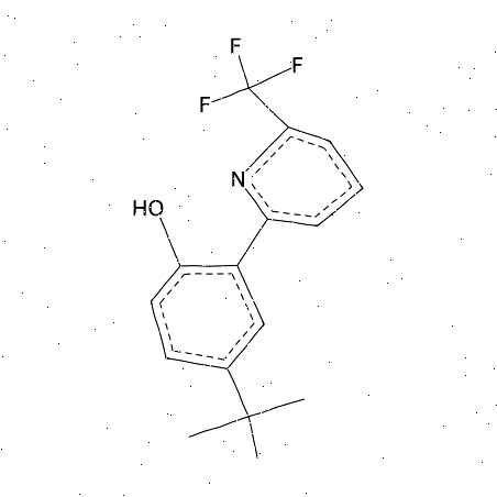 CC(C)(C)c1ccc(O)c(-c2cccc(C(F)(F)F)n2)c1